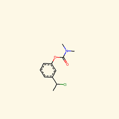 CC(Cl)c1cccc(OC(=O)N(C)C)c1